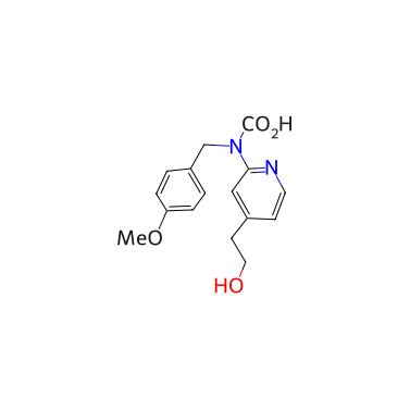 COc1ccc(CN(C(=O)O)c2cc(CCO)ccn2)cc1